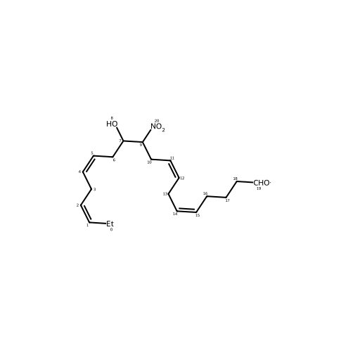 CC/C=C\C/C=C\CC(O)C(C/C=C\C/C=C\CCC[C]=O)[N+](=O)[O-]